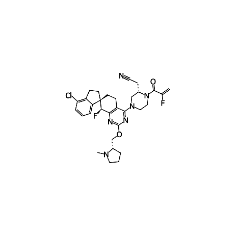 C=C(F)C(=O)N1CCN(c2nc(OC[C@@H]3CCCN3C)nc3c2CC[C@@]2(CCc4c(Cl)cccc42)[C@@H]3F)C[C@@H]1CC#N